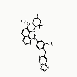 COc1ccc2ncnc(Nc3ccc(Cc4cc5ncnn5cn4)c(C)c3)c2c1OC1CCNCC1(F)F